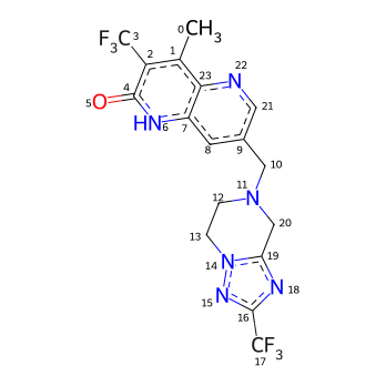 Cc1c(C(F)(F)F)c(=O)[nH]c2cc(CN3CCn4nc(C(F)(F)F)nc4C3)cnc12